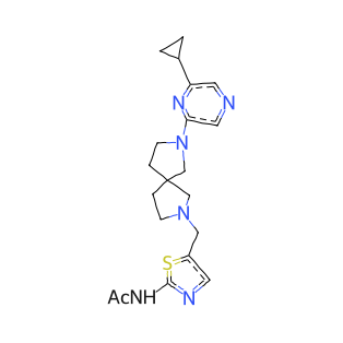 CC(=O)Nc1ncc(CN2CCC3(CCN(c4cncc(C5CC5)n4)C3)C2)s1